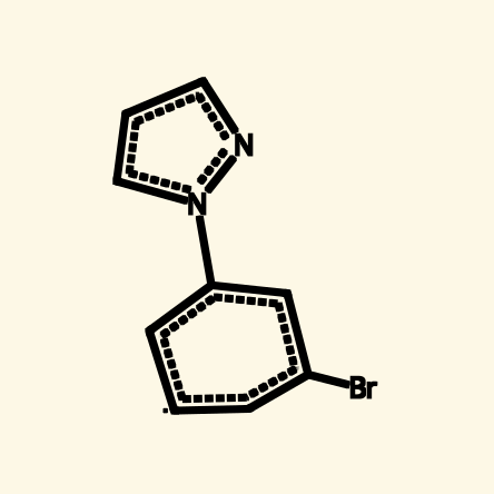 Brc1c[c]cc(-n2cccn2)c1